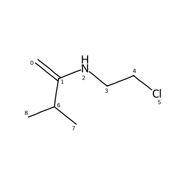 C=C(NCCCl)C(C)C